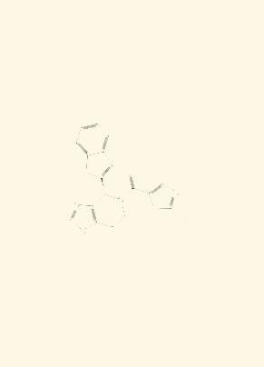 O=C(c1cnc(C(F)(F)F)o1)N1CCc2[nH]cnc2[C@H]1c1cc2ccccc2o1